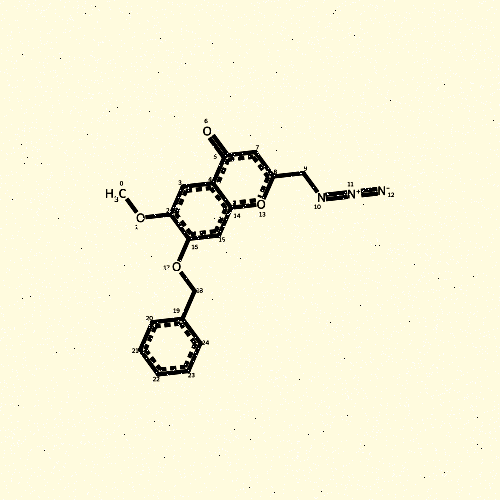 COc1cc2c(=O)cc(CN=[N+]=[N-])oc2cc1OCc1ccccc1